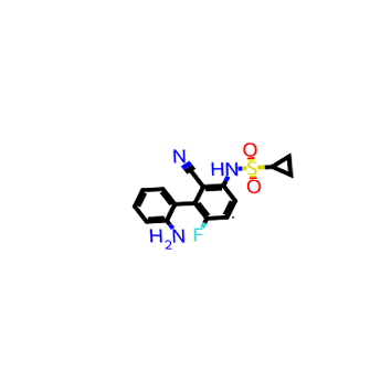 N#Cc1c(NS(=O)(=O)C2CC2)c[c]c(F)c1-c1ccccc1N